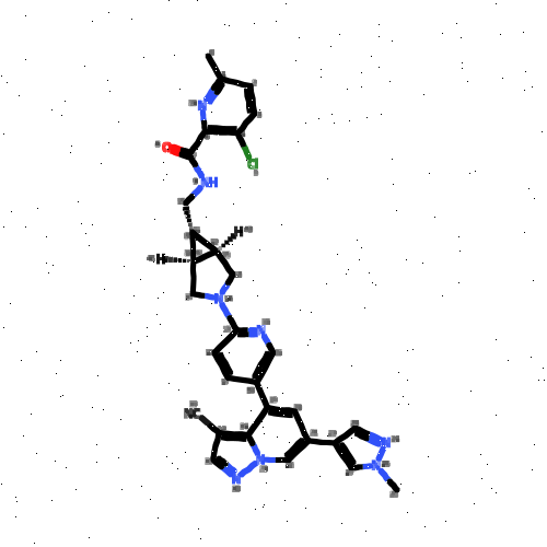 Cc1ccc(Cl)c(C(=O)NC[C@@H]2[C@H]3CN(c4ccc(-c5cc(-c6cnn(C)c6)cn6ncc(C#N)c56)cn4)C[C@@H]23)n1